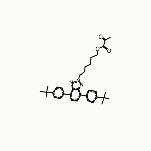 CC(=O)C(=O)OCCCCCCn1nc2c(-c3ccc(C(C)(C)C)cc3)ccc(-c3ccc(C(C)(C)C)cc3)c2n1